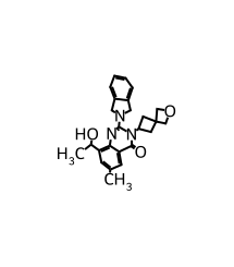 Cc1cc(C(C)O)c2nc(N3Cc4ccccc4C3)n(C3CC4(COC4)C3)c(=O)c2c1